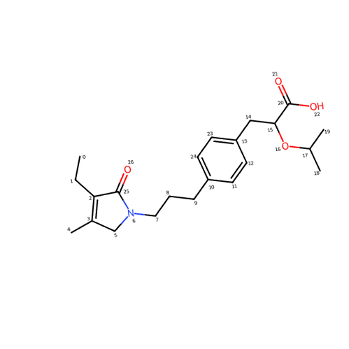 CCC1=C(C)CN(CCCc2ccc(CC(OC(C)C)C(=O)O)cc2)C1=O